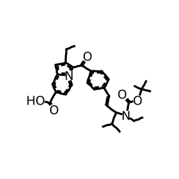 CCc1cc2cc(C(=O)O)ccn2c1C(=O)c1ccc(C=CC(C(C)C)N(CC)C(=O)OC(C)(C)C)cc1